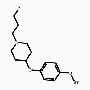 CC(C)Oc1ccc(OC2CCN(CCCF)CC2)cc1